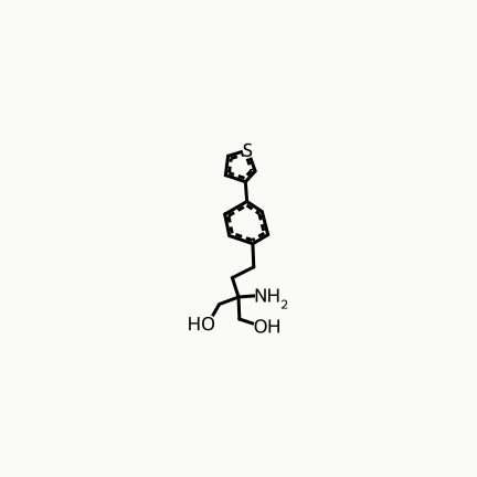 NC(CO)(CO)CCc1ccc(-c2ccsc2)cc1